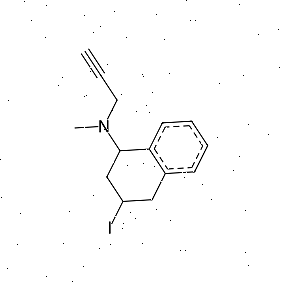 C#CCN(C)C1CC(I)Cc2ccccc21